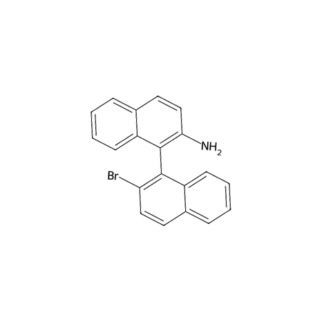 Nc1ccc2ccccc2c1-c1c(Br)ccc2ccccc12